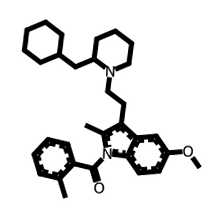 COc1ccc2c(c1)c(CCN1CCCCC1CC1CCCCC1)c(C)n2C(=O)c1ccccc1C